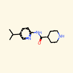 CC(C)c1ccc(NC(=O)C2CCNCC2)nc1